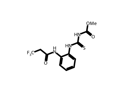 COC(=O)NC(=S)Nc1ccccc1NC(=O)CC(F)(F)F